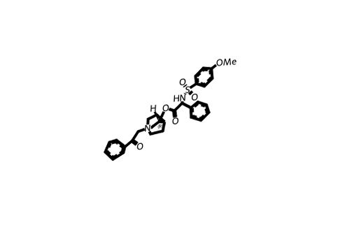 COc1ccc(S(=O)(=O)NC(C(=O)O[C@H]2C[N+]3(CC(=O)c4ccccc4)CCC2CC3)c2ccccc2)cc1